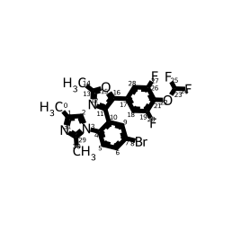 Cc1cn(-c2ccc(Br)cc2-c2nc(C)oc2-c2cc(F)c(OC(F)F)c(F)c2)c(C)n1